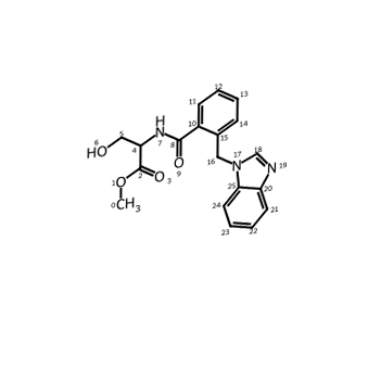 COC(=O)C(CO)NC(=O)c1ccccc1Cn1cnc2ccccc21